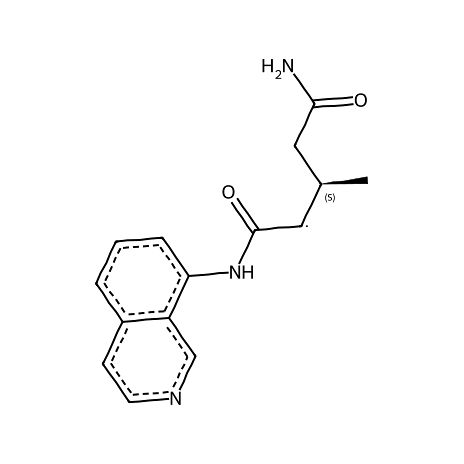 C[C@@H]([CH]C(=O)Nc1cccc2ccncc12)CC(N)=O